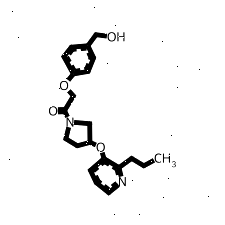 CCCc1ncccc1OC1CCN(C(=O)COc2ccc(CO)cc2)C1